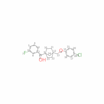 O[C@H](c1cccc(F)c1)C12CCC(COc3ccc(Cl)cc3)(CC1)C2